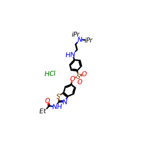 CCC(=O)Nc1nc2ccc(OS(=O)(=O)c3ccc(NCCN(C(C)C)C(C)C)cc3)cc2s1.Cl